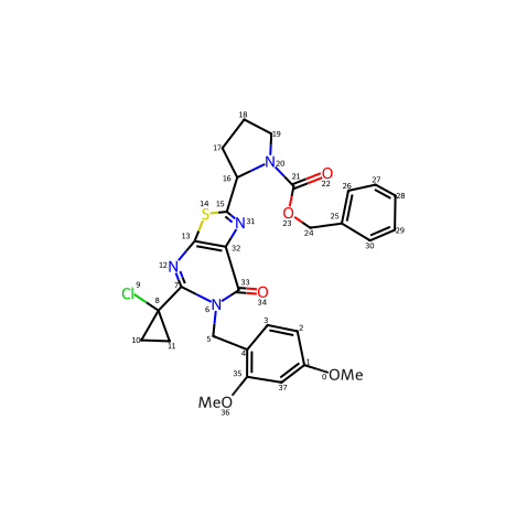 COc1ccc(Cn2c(C3(Cl)CC3)nc3sc(C4CCCN4C(=O)OCc4ccccc4)nc3c2=O)c(OC)c1